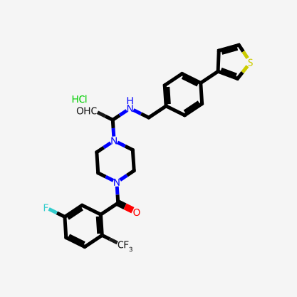 Cl.O=CC(NCc1ccc(-c2ccsc2)cc1)N1CCN(C(=O)c2cc(F)ccc2C(F)(F)F)CC1